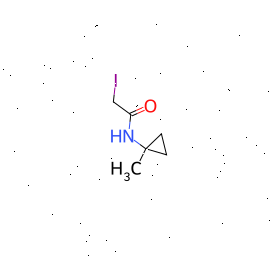 CC1(NC(=O)CI)CC1